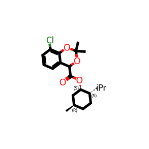 CC(C)[C@@H]1CC[C@@H](C)C[C@@H]1OC(=O)C1OC(C)(C)Oc2c(Cl)cccc21